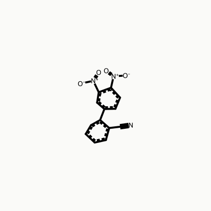 N#Cc1ccccc1-c1ccc([N+](=O)[O-])c([N+](=O)[O-])c1